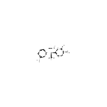 Nc1cccc(C(c2ccc(N)c(N)c2)(C(F)(F)F)C(F)(F)F)c1